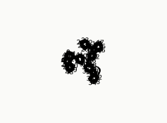 C1=CC(C2=CCC(N(C3=CC4C(C=C3)c3ccccc3N4c3ccccc3)C3=Cc4oc5ccccc5c4CC3)C=C2)C2C(=C1)Sc1ccccc12